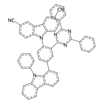 N#Cc1ccc2c(c1)c1cc(C#N)ccc1n2-c1ccc(-c2cccc3c4ccccc4n(-c4ccccc4)c23)cc1-c1nc(-c2ccccc2)nc(-c2ccccc2)n1